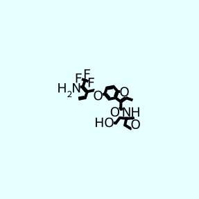 C=C/C(COc1ccc2oc(C)c(C(=O)NC3(CCO)CCOC3)c2c1)=C(\N)C(F)(F)F